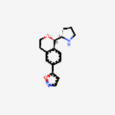 c1cc(-c2ccc3c(c2)CCO[C@H]3[C@@H]2CCCN2)on1